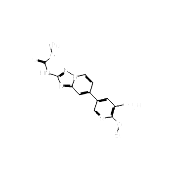 CCOc1ncc(-c2ccn3nc(NC(=O)OC(C)(C)C)nc3c2)cc1C(=O)O